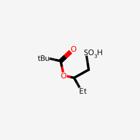 CCC(CS(=O)(=O)O)OC(=O)C(C)(C)C